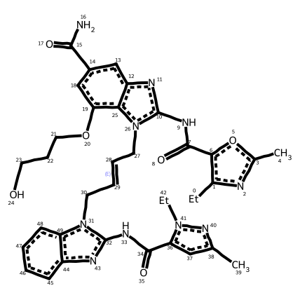 CCc1nc(C)oc1C(=O)Nc1nc2cc(C(N)=O)cc(OCCCO)c2n1C/C=C/Cn1c(NC(=O)c2cc(C)nn2CC)nc2ccccc21